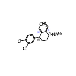 C/C=C1\C(=C/CC)[C@@H](NC)CC[C@H]1c1ccc(Cl)c(Cl)c1